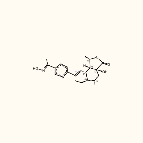 CC[C@H]1[C@H](/C=C/c2ccc(C(C)=NO)cn2)[C@@H]2[C@@H](C)OC(=O)[C@]2(O)C[C@@H]1C